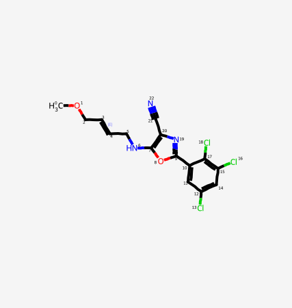 COC/C=C/CNc1oc(-c2cc(Cl)cc(Cl)c2Cl)nc1C#N